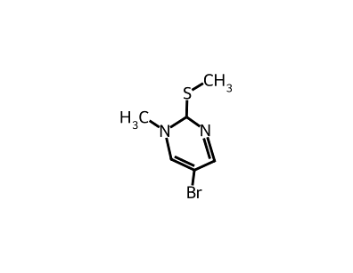 CSC1N=CC(Br)=CN1C